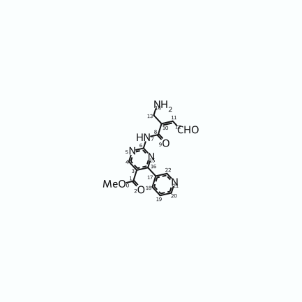 COC(=O)c1cnc(NC(=O)/C(=C\C=O)CN)nc1-c1cccnc1